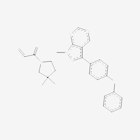 C=CC(=O)N1CC(C)(C)C[C@H]1Cn1nc(-c2ccc(Oc3ccccc3)cc2)c2cncnc21